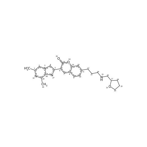 Cc1cn2cc(-c3cc4ccc(CCCNCC5CCCO5)cc4oc3=O)nc2c(C)n1